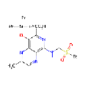 CCS(=O)(=O)CNc1nc(C(=O)O)c(O[Si](C(C)C)(C(C)C)C(C)C)c2nc(C)cnc12